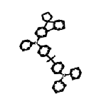 CC(C)(c1ccc(N(c2ccccc2)c2ccccc2)cc1)c1ccc(N(c2ccccc2)c2ccc3c(c2)-c2ccccc2C32CCCC2)cc1